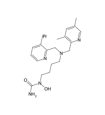 Cc1cnc(CN(CCCCN(O)C(N)=O)Cc2ncccc2C(C)C)c(C)c1